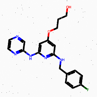 OCCCOc1cc(NCc2ccc(F)cc2)nc(Nc2cnccn2)c1